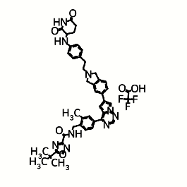 Cc1cc(-c2ncnn3cc(-c4ccc5c(c4)CN(CCc4ccc(NC6CCC(=O)NC6=O)cc4)C5)cc23)ccc1CNC(=O)c1noc(C(C)(C)C)n1.O=C(O)C(F)(F)F